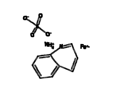 O=S(=O)([O-])[O-].[Fe+].[NH4+].c1ccc2ncccc2c1